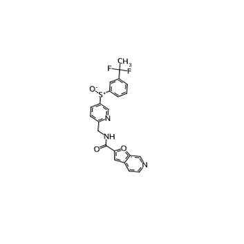 CC(F)(F)c1cccc([S+]([O-])c2ccc(CNC(=O)c3cc4ccncc4o3)nc2)c1